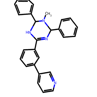 CN1C(c2ccccc2)N=C(c2cccc(-c3cccnc3)c2)NC1c1ccccc1